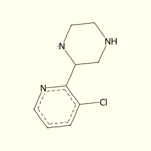 Clc1cccnc1C1CNCC[N]1